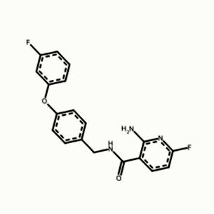 Nc1nc(F)ccc1C(=O)NCc1ccc(Oc2cccc(F)c2)cc1